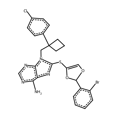 Nc1ncnc2c1nc(SC1=COC(c3ccccc3Br)O1)n2CC1(c2ccc(Cl)cc2)CCC1